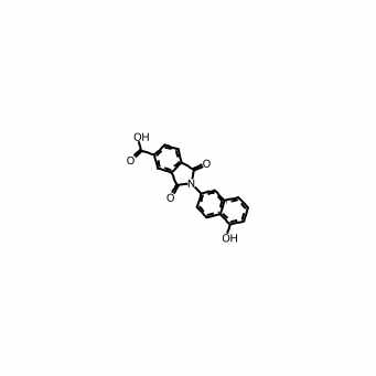 O=C(O)c1ccc2c(c1)C(=O)N(c1ccc3c(O)cccc3c1)C2=O